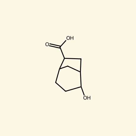 O=C(O)C1CC2CC1CCC2O